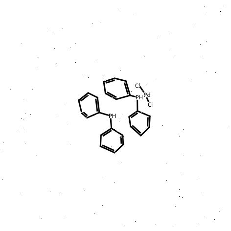 [Cl][Pd][Cl].c1ccc(Pc2ccccc2)cc1.c1ccc(Pc2ccccc2)cc1